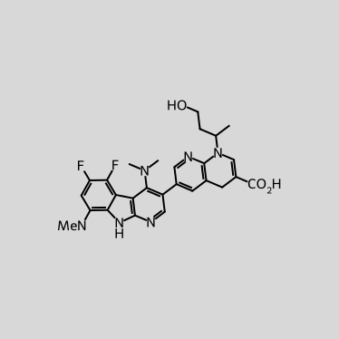 CNc1cc(F)c(F)c2c1[nH]c1ncc(-c3cnc4c(c3)CC(C(=O)O)=CN4C(C)CCO)c(N(C)C)c12